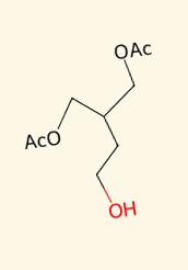 CC(=O)OCC(CCO)COC(C)=O